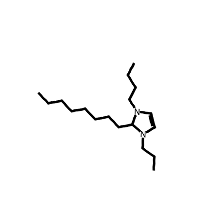 CCCCCCCCC1N(CCC)C=CN1CCCC